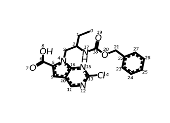 CCC(Cn1c(C(=O)O)cc2cnc(Cl)nc21)NC(=O)OCc1ccccc1